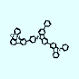 c1ccc(-c2ccc3c(c2)c2cc(-c4ccc5c(c4)c4ccccc4n5-c4ccccc4)ccc2n3-c2ccc(-c3ccc4c5cccc6c5n(c4c3)-c3ccccc3O6)cc2)cc1